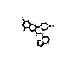 CC(=O)N1CCN(c2nc3cc(F)cc(F)c3cc2[C@H](C)Nc2ccnc3ccnn23)CC1